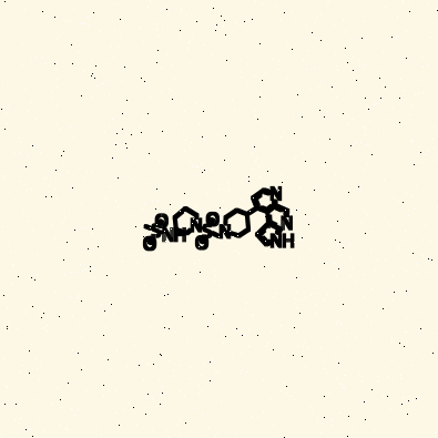 CS(=O)(=O)NC1CCCN(S(=O)(=O)CN2CCC(c3ccnc4cnc5[nH]ccc5c34)CC2)C1